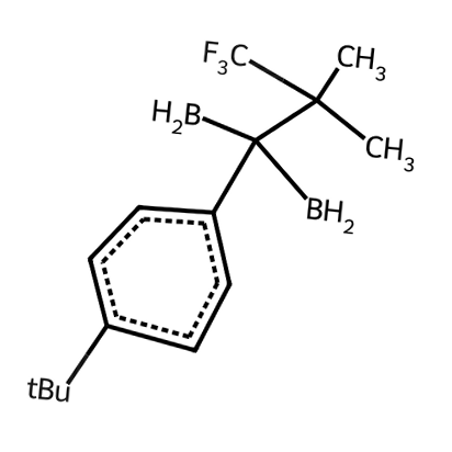 BC(B)(c1ccc(C(C)(C)C)cc1)C(C)(C)C(F)(F)F